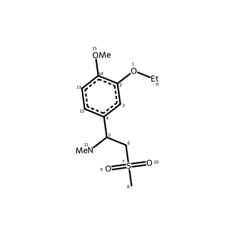 CCOc1cc(C(CS(C)(=O)=O)NC)ccc1OC